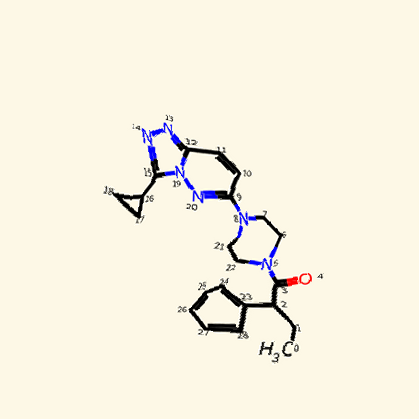 CCC(C(=O)N1CCN(c2ccc3nnc(C4CC4)n3n2)CC1)c1ccccc1